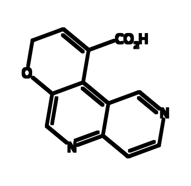 O=C(O)C1=CCOc2cnc3ccncc3c21